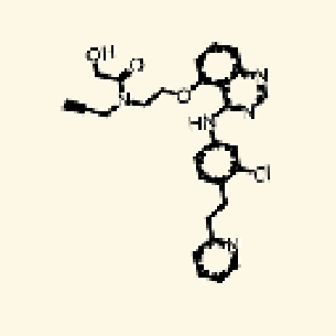 C#CCN(CCOc1cccc2ncnc(Nc3ccc(CCc4ccccn4)c(Cl)c3)c12)C(=O)CO